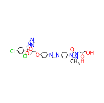 Cc1nn(CC(O)CO)c(=O)n1-c1ccc(N2CCN(c3ccc(OCC4COC(Cn5cncn5)(c5ccc(Cl)cc5Cl)O4)cc3)CC2)cc1